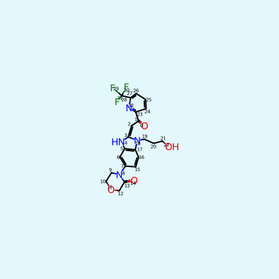 O=C(C=C1Nc2cc(N3CCOCC3=O)ccc2N1CCCO)c1cccc(C(F)(F)F)n1